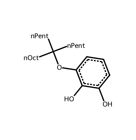 CCCCCCCCC(CCCCC)(CCCCC)Oc1cccc(O)c1O